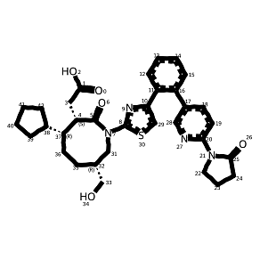 O=C(O)C[C@@H]1C(=O)N(c2nc(-c3ccccc3-c3ccc(N4CCCC4=O)nc3)cs2)C[C@H](CO)CC[C@@H]1C1CCCC1